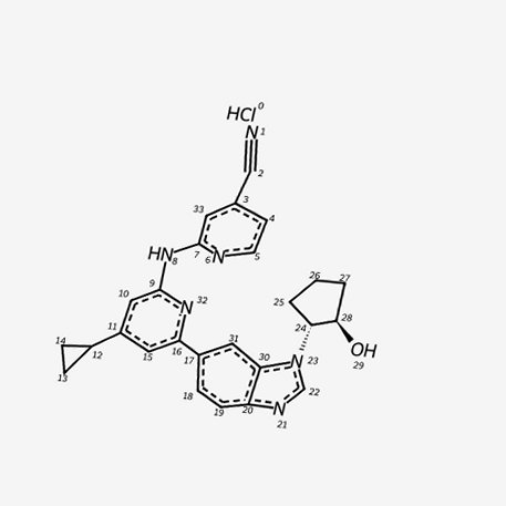 Cl.N#Cc1ccnc(Nc2cc(C3CC3)cc(-c3ccc4ncn([C@@H]5CCC[C@H]5O)c4c3)n2)c1